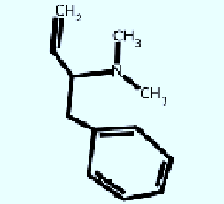 C=CC(Cc1ccccc1)N(C)C